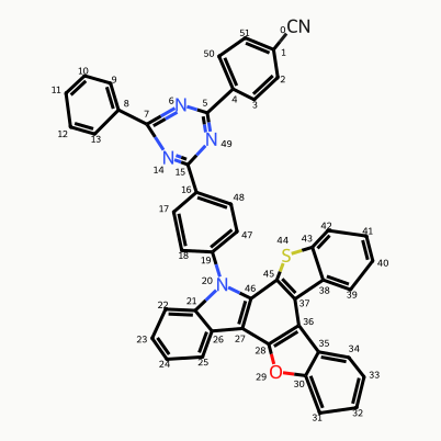 N#Cc1ccc(-c2nc(-c3ccccc3)nc(-c3ccc(-n4c5ccccc5c5c6oc7ccccc7c6c6c7ccccc7sc6c54)cc3)n2)cc1